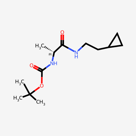 C[C@@H](NC(=O)OC(C)(C)C)C(=O)NCCC1CC1